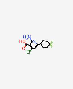 Nc1nc(C2CCC(F)(F)CC2)cc(Cl)c1C(=O)O